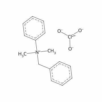 C[N+](C)(Cc1ccccc1)c1ccccc1.[O-][Cl+2]([O-])[O-]